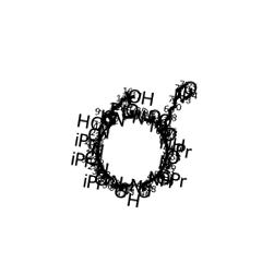 CC[C@@H]1NC(=O)[C@H]([C@H](O)[C@H](C)CCCCC(C)(C)O)N(C)C(=O)[C@H](C(C)C)N(C)C(=O)[C@H](CC(C)C)N(C)C(=O)[C@H](CC(C)C)N(C)C(=O)[C@@H](C)NC(=O)[C@H](C)NC(=O)[C@H](CC(C)C)N(C)C(=O)[C@H](C(C)C)NC(=O)[C@H]([C@@H](C)OCCCCN2CCOCC2)N(C)C(=O)[C@@H](C)N(C)C1=O